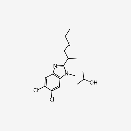 CC(C)O.CCSCC(C)c1nc2cc(Cl)c(Cl)cc2n1C